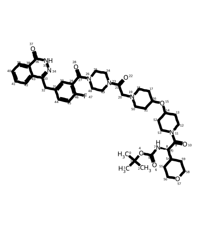 CC(C)(C)OC(=O)N[C@@H](C(=O)N1CCC(OC2CCN(CC(=O)N3CCN(C(=O)c4cc(Cc5n[nH]c(=O)c6ccccc56)ccc4F)CC3)CC2)CC1)C1CCOCC1